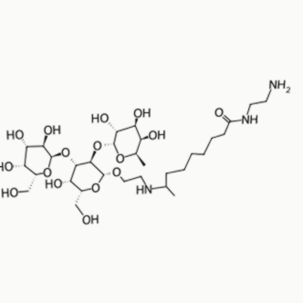 CC(CCCCCCC(=O)NCCN)NCCO[C@@H]1O[C@H](CO)[C@H](O)[C@H](O[C@H]2O[C@H](CO)[C@H](O)[C@H](O)[C@H]2O)[C@H]1O[C@H]1O[C@H](C)[C@H](O)[C@H](O)[C@H]1O